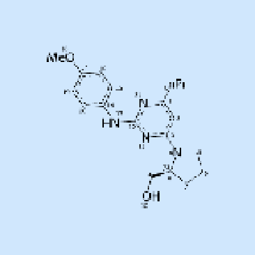 CCCc1cc(N2CCC[C@H]2CO)nc(Nc2ccc(OC)cc2)n1